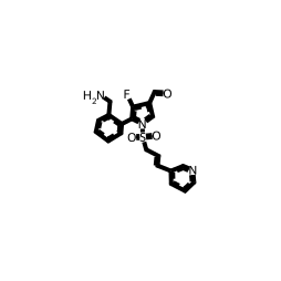 NCc1ccccc1-c1c(F)c(C=O)cn1S(=O)(=O)CC=Cc1cccnc1